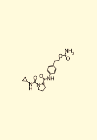 NC(=O)OCCc1ccc(NC(=O)[C@H]2CCCN2C(=O)NC2CC2)cc1